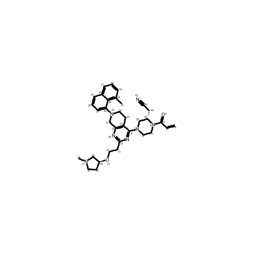 C=CC(=O)N1CCN(c2nc(CCO[C@H]3CCN(C)C3)nc3c2CCN(c2cccc4cccc(C)c24)C3)C[C@@H]1CC#N